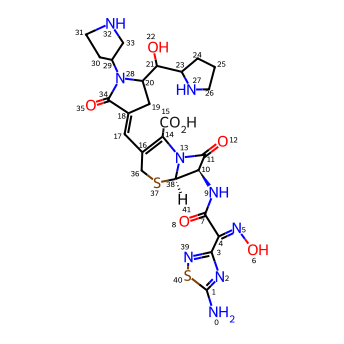 Nc1nc(C(=NO)C(=O)N[C@@H]2C(=O)N3C(C(=O)O)=C(C=C4CC(C(O)C5CCCN5)N(C5CCNC5)C4=O)CS[C@H]23)ns1